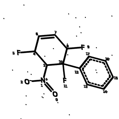 O=[N+]([O-])C1C(F)C=CC(F)C1(F)c1ccccc1